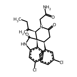 C=C(CC)[C@H]1N(CC(N)=O)C(=O)C[C@@H](c2cccc(Cl)c2)[C@]12C(=O)Nc1cc(Cl)ccc12